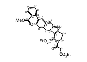 CCCCc1nc2c(n1Cc1ccc(-c3ccccc3C(=O)OC)cc1)C(C(=O)OCC)N(C(=O)CC(=O)OCC)CC2